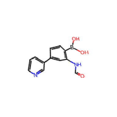 O=CNc1cc(-c2cccnc2)ccc1B(O)O